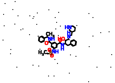 CCS(=O)(=O)Nc1cc(C(=O)NC(C)c2ccccc2)cc(C(=O)NC(Cc2ccccc2)C(O)CNCC2CCCNC2)c1